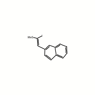 CSC(I)=Cc1ccc2ccccc2c1